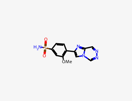 COc1cc(S(N)(=O)=O)ccc1-c1cn2cnncc2n1